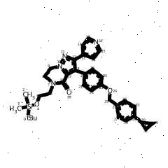 CC(C)(C)[Si](C)(C)OCCN1CCn2nc(-c3ccncc3)c(-c3ccc(OCc4ccc(C5CC5)cc4)cc3)c2C1=O